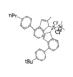 CCCc1ccc(-c2cccc3c2C=C(C)[CH]3[Zr]([Cl])([Cl])([CH]2C=Cc3c(-c4ccc(C(C)(C)C)cc4)cccc32)[SiH](C)C)cc1